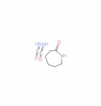 N=C=O.N=C=O.O=C1CCCCCN1